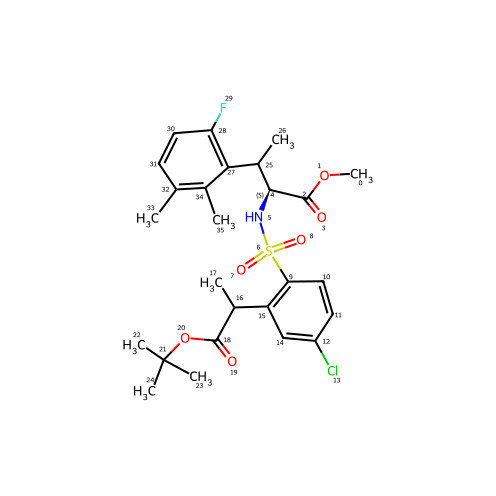 COC(=O)[C@@H](NS(=O)(=O)c1ccc(Cl)cc1C(C)C(=O)OC(C)(C)C)C(C)c1c(F)ccc(C)c1C